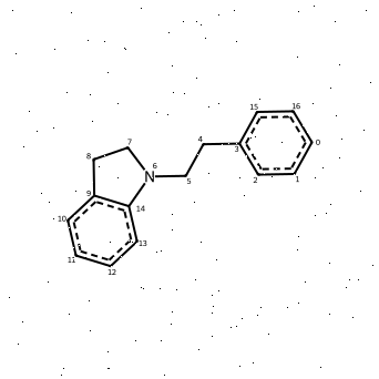 c1ccc(CCN2CCc3ccccc32)cc1